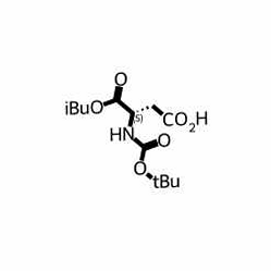 CC(C)COC(=O)[C@H](CC(=O)O)NC(=O)OC(C)(C)C